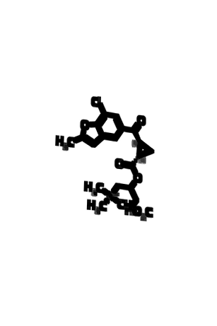 Cc1cc2cc(C(=O)[C@H]3C[C@@H]3C(=O)OC(CC(=O)O)C[N+](C)(C)C)cc(Cl)c2o1